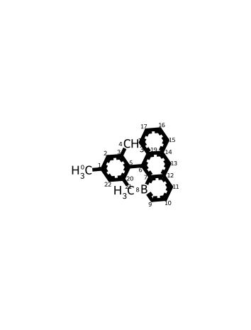 Cc1cc(C)c(-c2c3bcccc3cc3ccccc23)c(C)c1